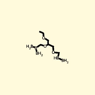 BBCOCC(COCC)OCB(B)B